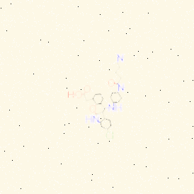 CN(C)CCCCC(=O)N(C)c1ccc(NC(=C2C(=O)Nc3cc(Cl)ccc32)c2cccc(CC(=O)O)c2)cc1